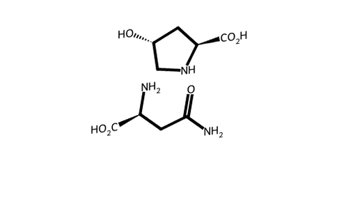 NC(=O)C[C@H](N)C(=O)O.O=C(O)[C@@H]1C[C@@H](O)CN1